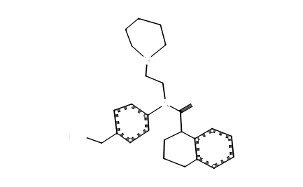 CCc1ccc(N(CCN2CCCCC2)C(=O)C2CCCc3ccccc32)cc1